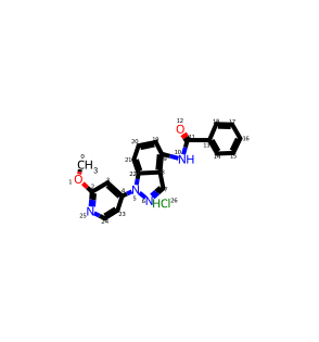 COc1cc(-n2ncc3c(NC(=O)c4ccccc4)cccc32)ccn1.Cl